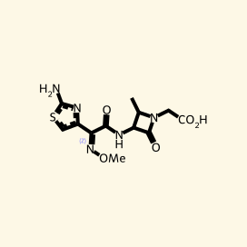 CO/N=C(\C(=O)NC1C(=O)N(CC(=O)O)C1C)c1csc(N)n1